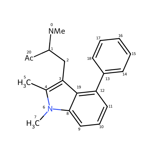 CNC(Cc1c(C)n(C)c2cccc(-c3ccccc3)c12)C(C)=O